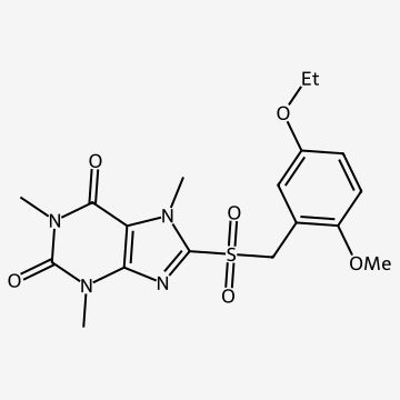 CCOc1ccc(OC)c(CS(=O)(=O)c2nc3c(c(=O)n(C)c(=O)n3C)n2C)c1